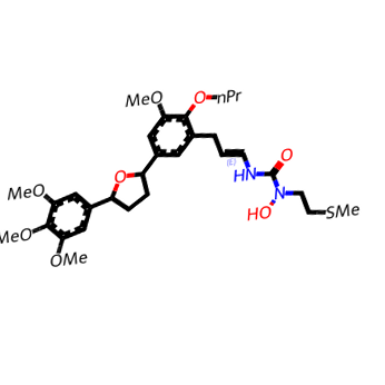 CCCOc1c(C/C=C/NC(=O)N(O)CCSC)cc(C2CCC(c3cc(OC)c(OC)c(OC)c3)O2)cc1OC